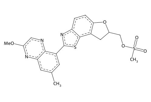 COc1cnc2c(-c3nc4ccc5c(c4s3)CC(COS(C)(=O)=O)O5)cc(C)cc2n1